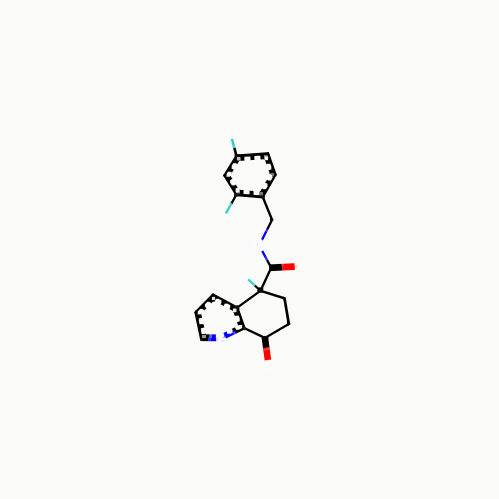 O=C1CCC(F)(C(=O)NCc2ccc(F)cc2F)c2cccnc21